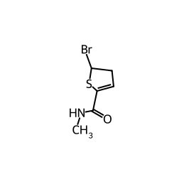 CNC(=O)C1=CCC(Br)S1